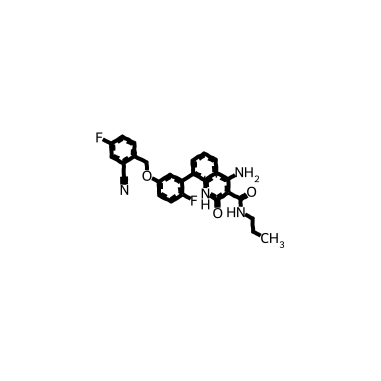 CCCNC(=O)c1c(N)c2cccc(-c3cc(OCc4ccc(F)cc4C#N)ccc3F)c2[nH]c1=O